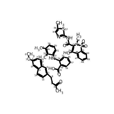 COc1ccc2cc(CCC(C)=O)ccc2c1.Cc1cccc(Nc2ccccc2C(=O)O)c1C.Cc1cnc(NC(=O)C2=C(O)c3ccccc3S(=O)(=O)N2C)s1